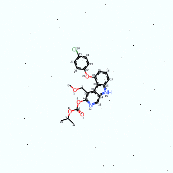 COCc1c(OC(=O)OC(C)C)ncc2[nH]c3cccc(Oc4ccc(Cl)cc4)c3c12